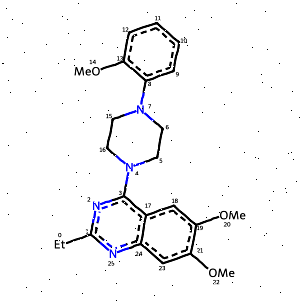 CCc1nc(N2CCN(c3ccccc3OC)CC2)c2cc(OC)c(OC)cc2n1